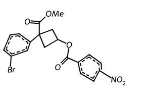 COC(=O)C1(c2cccc(Br)c2)CC(OC(=O)c2ccc([N+](=O)[O-])cc2)C1